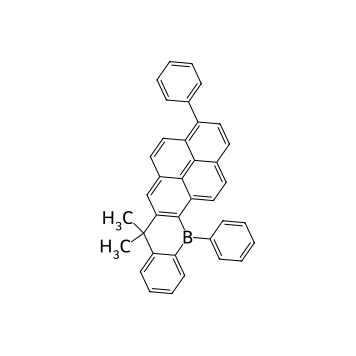 CC1(C)c2ccccc2B(c2ccccc2)c2c1cc1ccc3c(-c4ccccc4)ccc4ccc2c1c43